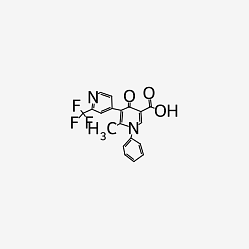 Cc1c(-c2ccnc(C(F)(F)F)c2)c(=O)c(C(=O)O)cn1-c1ccccc1